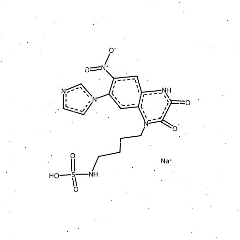 O=c1[nH]c2cc([N+](=O)[O-])c(-n3ccnc3)cc2n(CCCCNS(=O)(=O)O)c1=O.[Na+]